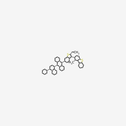 C=Cc1sc2cc(-c3c4ccccc4c(-c4ccc(-c5ccccc5)c5ccccc45)c4ccccc34)ccc2c1-c1ccc2sc3ccccc3c2c1C